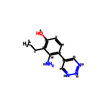 CCc1c(O)ccc(-c2cnnnc2)c1N